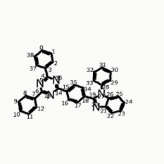 c1ccc(-c2nc(-c3ccccc3)nc(-c3ccc(-c4nc5ccccc5n4-c4ccccc4)cc3)n2)cc1